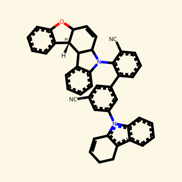 N#Cc1cc(-c2cccc(C#N)c2N2c3ccccc3C3C2C=CC2Oc4ccccc4[C@H]23)cc(-n2c3c(c4ccccc42)CCC=C3)c1